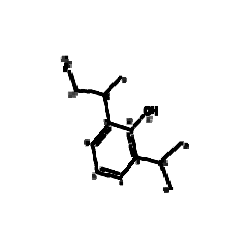 CC(C)c1cccc(C(C)CF)c1O